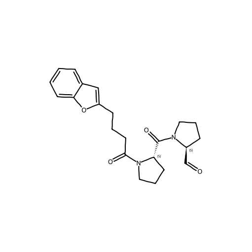 O=C[C@@H]1CCCN1C(=O)[C@@H]1CCCN1C(=O)CCCc1cc2ccccc2o1